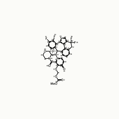 COC(=O)OCOc1c2n(ccc1=O)N([C@@H]1c3cccc4c3-c3c(csc3-c3c1ccc(F)c3F)C(F)(F)C4)[C@@H]1COCCN1C2=O